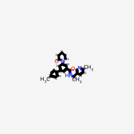 Cc1ccc(-c2cc(C(=O)NC(C)c3ccc(C)nc3)cc(N3CCCCC3=O)c2)cc1